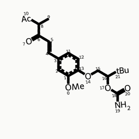 COc1cc(/C=C/C(=O)C(C)C(C)=O)ccc1OCC(OC(N)=O)C(C)(C)C